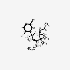 CC1(C)C(NC(=O)O)=N[C@](C)(c2cc(I)ccc2F)C[S@@]1(=O)=NCC(F)(F)F